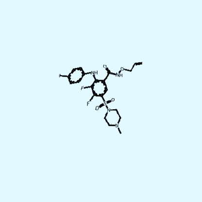 C=CCONC(=O)c1cc(S(=O)(=O)N2CCN(C)CC2)c(F)c(F)c1Nc1ccc(I)cc1